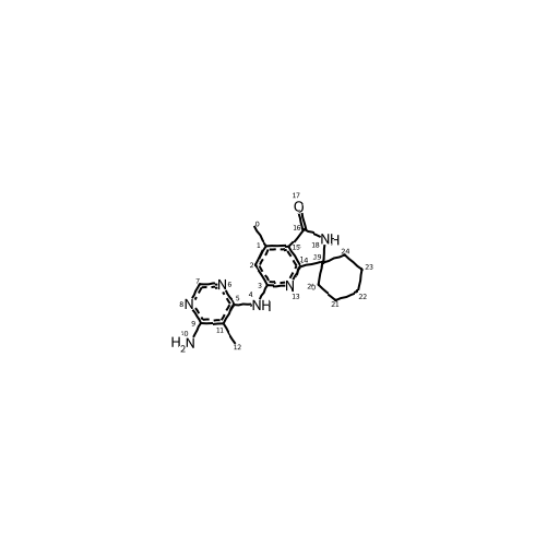 Cc1cc(Nc2ncnc(N)c2C)nc2c1C(=O)NC21CCCCC1